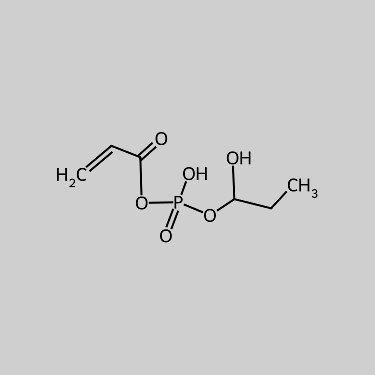 C=CC(=O)OP(=O)(O)OC(O)CC